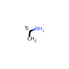 [CH2]CN.[Ti]